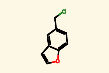 ClCc1ccc2occc2c1